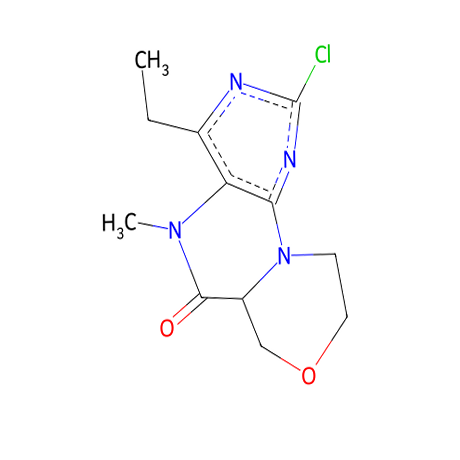 CCc1nc(Cl)nc2c1N(C)C(=O)C1COCCN21